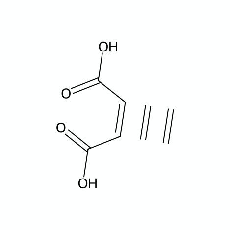 C=C.C=C.O=C(O)/C=C\C(=O)O